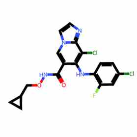 O=C(NOCC1CC1)c1cn2ccnc2c(Cl)c1Nc1ccc(Cl)cc1F